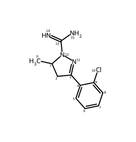 CC1CC(c2ccccc2Cl)=NN1C(=N)N